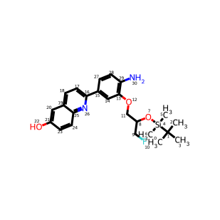 CC(C)(C)[Si](C)(C)OC(CF)COc1cc(-c2ccc3cc(O)ccc3n2)ccc1N